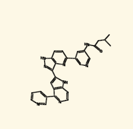 CC(C)CC(=O)Nc1cncc(-c2ccc3[nH]nc(-c4cc5c(-c6cccnc6)nccc5[nH]4)c3n2)c1